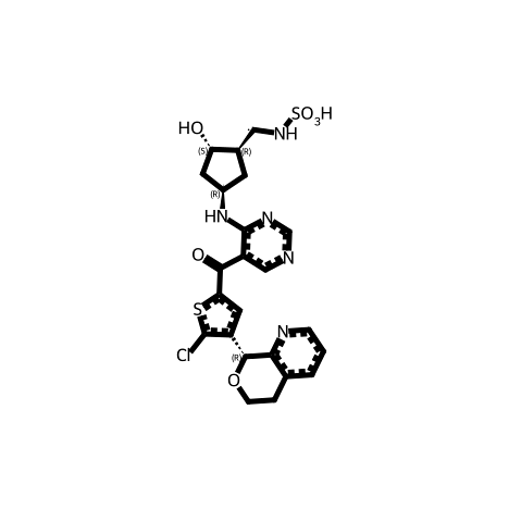 O=C(c1cc([C@H]2OCCc3cccnc32)c(Cl)s1)c1cncnc1N[C@H]1C[C@H](O)[C@@H]([CH]NS(=O)(=O)O)C1